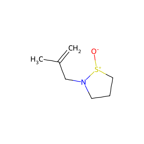 C=C(C)CN1CCC[S+]1[O-]